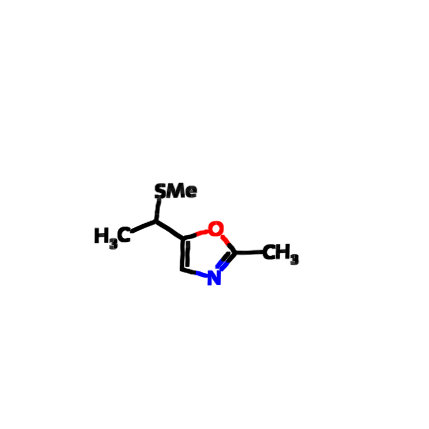 CSC(C)c1cnc(C)o1